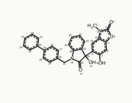 Cn1c(=O)oc2cc(O)c(C3(O)C(=O)N(Cc4ccc(-c5ccccc5)cc4)c4ccccc43)cc21